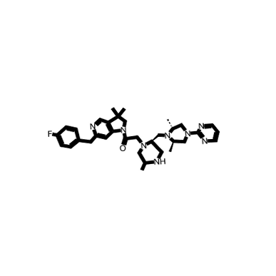 CC1CN(CC(=O)N2CC(C)(C)c3cnc(Cc4ccc(F)cc4)cc32)[C@@H](CN2[C@H](C)CN(c3ncccn3)C[C@H]2C)CN1